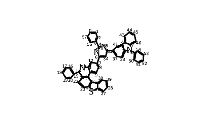 c1ccc(-c2nc(-c3ccc4c(c3)nc(-c3ccccc3)c3ccc5sc6ccccc6c5c34)cc(-c3ccc4c(c3)c3ccccc3n4-c3ccccc3)n2)cc1